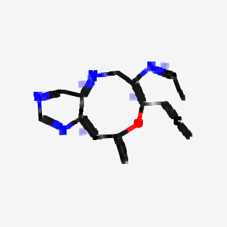 C=C=C/C1=C(\N=C/C)C/N=c2/cncn/c2=C/C(=C)O1